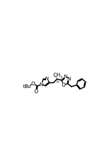 C[C@@H](Cc1cn(C(=O)OC(C)(C)C)cn1)c1nnc(Cc2ccccc2)o1